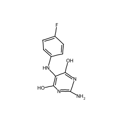 Nc1nc(O)c(Nc2ccc(F)cc2)c(O)n1